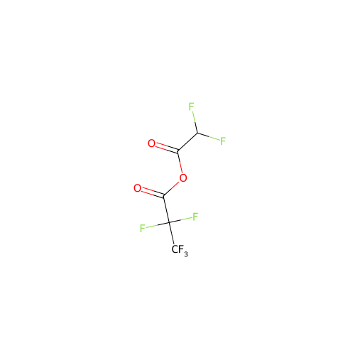 O=C(OC(=O)C(F)(F)C(F)(F)F)C(F)F